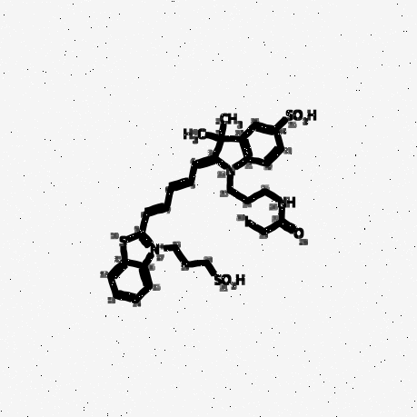 CC1(C)/C(=C/C=C/C=C/c2sc3ccccc3[n+]2CCCS(=O)(=O)O)N(CCCNC(=O)CI)c2ccc(S(=O)(=O)O)cc21